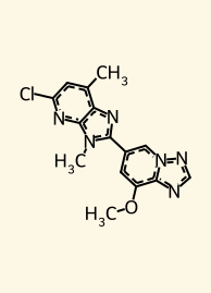 COc1cc(-c2nc3c(C)cc(Cl)nc3n2C)cn2ncnc12